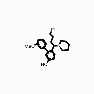 COc1cccc(-c2cc(O)ccc2C(CCCCl)N2CCCCC2)c1